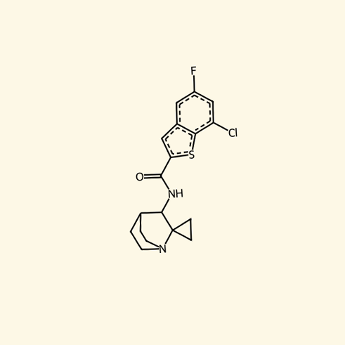 O=C(NC1C2CCN(CC2)C12CC2)c1cc2cc(F)cc(Cl)c2s1